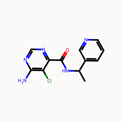 CC(NC(=O)c1ncnc(N)c1Cl)c1cccnc1